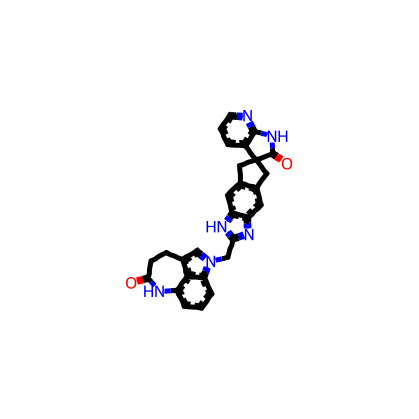 O=C1CCc2cn(Cc3nc4cc5c(cc4[nH]3)CC3(C5)C(=O)Nc4ncccc43)c3cccc(c23)N1